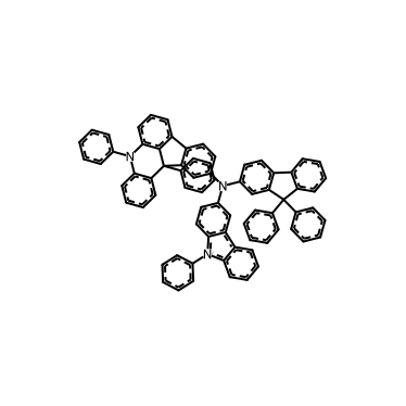 c1ccc(N2c3ccccc3C3(c4ccccc4)c4cc(N(c5ccc6c(c5)C(c5ccccc5)(c5ccccc5)c5ccccc5-6)c5ccc6c(c5)c5ccccc5n6-c5ccccc5)ccc4-c4cccc2c43)cc1